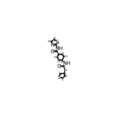 O=C(Cc1ccsc1)Nc1ccc(C(=O)Nc2nccs2)cc1